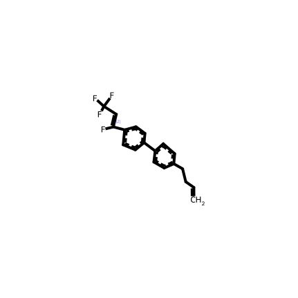 C=CCCc1ccc(-c2ccc(/C(F)=C/C(F)(F)F)cc2)cc1